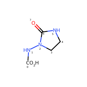 O=C(O)NN1CCNC1=O